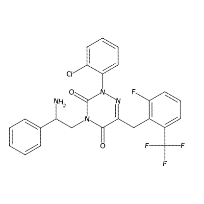 NC(Cn1c(=O)c(Cc2c(F)cccc2C(F)(F)F)nn(-c2ccccc2Cl)c1=O)c1ccccc1